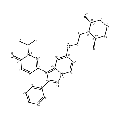 CC(C)n1nc(-c2c(-c3ccccc3)nn3ccc(OCCN4[C@H](C)COC[C@@H]4C)cc23)ccc1=O